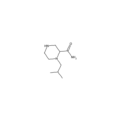 C[C](C)CN1CCNCC1C(N)=O